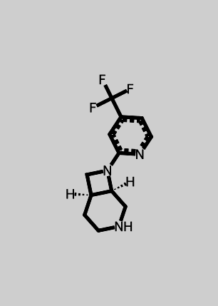 FC(F)(F)c1ccnc(N2C[C@@H]3CCNC[C@@H]32)c1